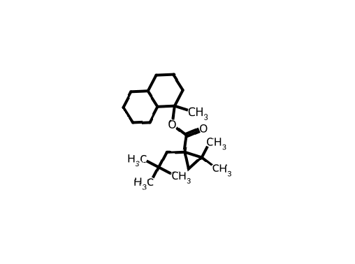 CC(C)(C)CC1(C(=O)OC2(C)CCCC3CCCCC32)CC1(C)C